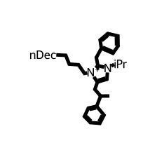 CCCCCCCCCCCCCC[n+]1c(CC(C)c2ccccc2)cn(C(C)C)c1Cc1ccccc1